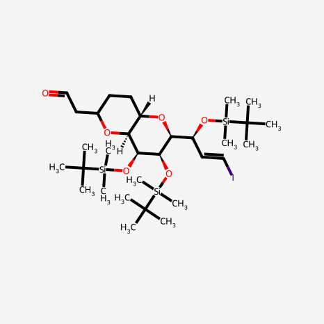 CC(C)(C)[Si](C)(C)O[C@@H]1[C@H](O[Si](C)(C)C(C)(C)C)[C@H]([C@H](/C=C/I)O[Si](C)(C)C(C)(C)C)O[C@H]2CCC(CC=O)O[C@H]12